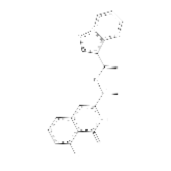 C[C@H](NC(=O)c1cnn2cccnc12)c1cc2cccc(Cl)c2c(=O)[nH]1